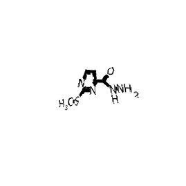 CSc1nccc(C(=O)NN)n1